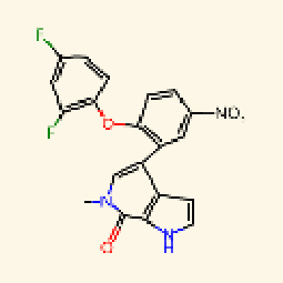 Cn1cc(-c2cc([N+](=O)[O-])ccc2Oc2ccc(F)cc2F)c2cc[nH]c2c1=O